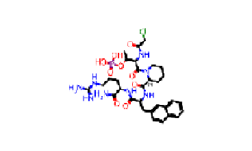 CC(OP(=O)(O)O)C(NC(=O)CCl)C(=O)N1CCCC[C@H]1C(=O)NC(Cc1ccc2ccccc2c1)C(=O)NC(CCCNC(=N)N)C(N)=O